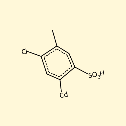 Cc1cc(S(=O)(=O)O)[c]([Cd])cc1Cl